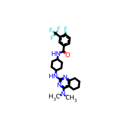 CN(C)c1nc(NC2CCC(NC(=O)c3ccc(F)c(C(F)(F)F)c3)CC2)nc2c1CCCC2